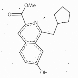 COC(=O)c1cc2ccc(O)cc2c(CC2CCCC2)n1